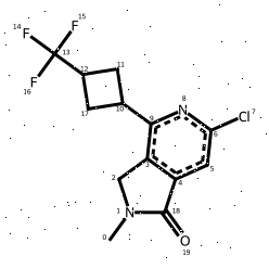 CN1Cc2c(cc(Cl)nc2C2CC(C(F)(F)F)C2)C1=O